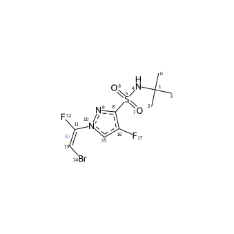 CC(C)(C)NS(=O)(=O)c1nn(/C(F)=C\Br)cc1F